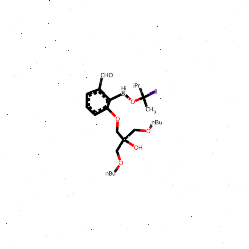 CCCCOCC(O)(COCCCC)COc1cccc(C=O)c1BOC(C)(I)C(C)C